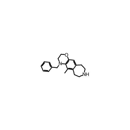 Cc1c2c(cc3c1N(Cc1ccccc1)CCO3)CCNCC2